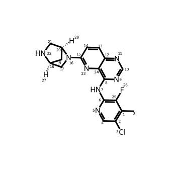 Cc1c(Cl)cnc(Nc2ncnc3ccc(N4C[C@@H]5C[C@H]4CN5)nc23)c1F